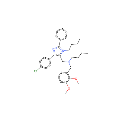 CCCCN(Cc1cccc(OC)c1OC)Cc1c(-c2ccc(Cl)cc2)nc(-c2ccccc2)n1CCCC